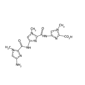 Cn1cc(NC(=O)c2nc(NC(=O)c3nc(N)cn3C)cn2C)nc1C(=O)O